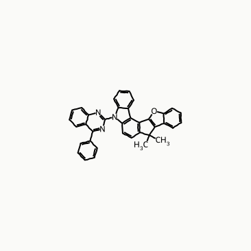 CC1(C)c2ccc3c(c2-c2oc4ccccc4c21)c1ccccc1n3-c1nc(-c2ccccc2)c2ccccc2n1